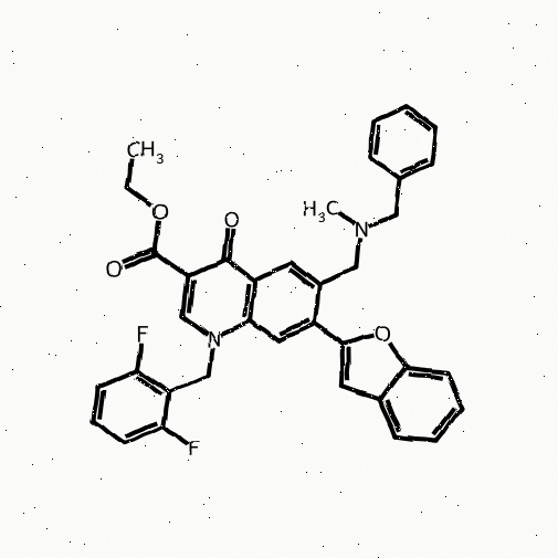 CCOC(=O)c1cn(Cc2c(F)cccc2F)c2cc(-c3cc4ccccc4o3)c(CN(C)Cc3ccccc3)cc2c1=O